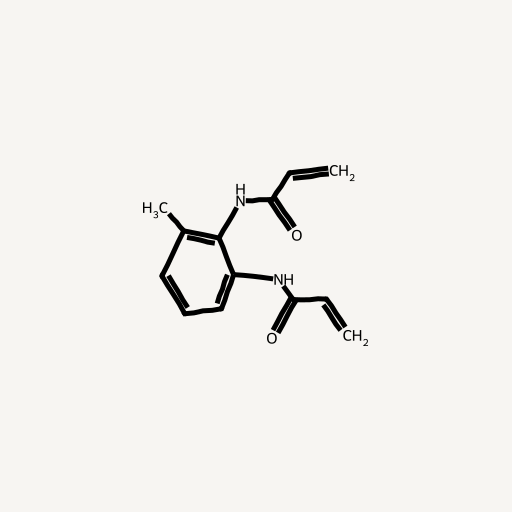 C=CC(=O)Nc1cccc(C)c1NC(=O)C=C